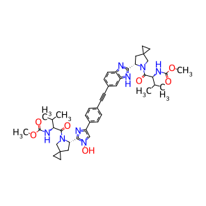 COC(=O)N[C@H](C(=O)N1CC2(CC2)C[C@H]1c1nc2ccc(C#Cc3ccc(-c4cn(O)c([C@@H]5CC6(CC6)CN5C(=O)[C@@H](NC(=O)OC)C(C)C)n4)cc3)cc2[nH]1)C(C)C